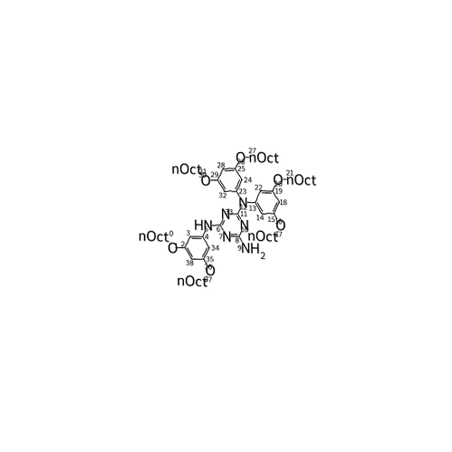 CCCCCCCCOc1cc(Nc2nc(N)nc(N(c3cc(OCCCCCCCC)cc(OCCCCCCCC)c3)c3cc(OCCCCCCCC)cc(OCCCCCCCC)c3)n2)cc(OCCCCCCCC)c1